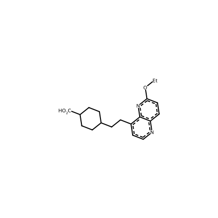 CCOc1ccc2nccc(CCC3CCC(C(=O)O)CC3)c2n1